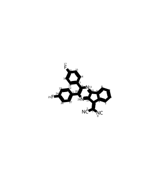 [C-]#[N+]/C(C#N)=C1\c2ccccc2-c2nc(-c3ccc(F)cc3)c(-c3ccc(F)cc3)nc21